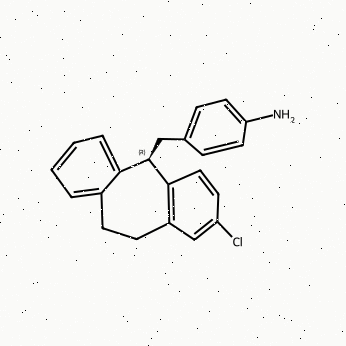 Nc1ccc(C[C@@H]2c3ccccc3CCc3cc(Cl)ccc32)cc1